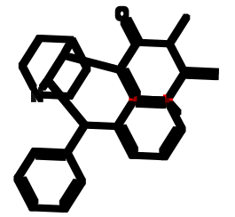 C=C1C(C)C=C(C2C3CCN(CC3)C2C(c2ccccc2)c2ccccc2)C(=O)C1C